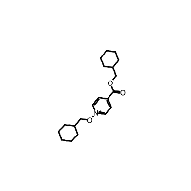 O=C(OCC1CCCCC1)c1cc[n+](OCC2CCCCC2)cc1